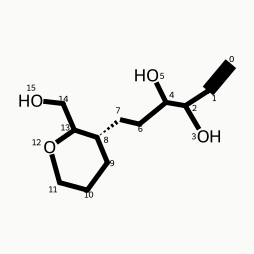 C#CC(O)C(O)CC[C@@H]1CCCOC1CO